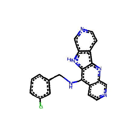 Clc1cccc(CNc2c3ccncc3nc3c2[nH]c2cnccc23)c1